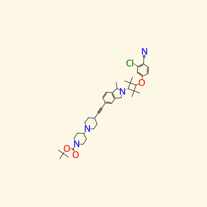 CC1c2ccc(C#CC3CCN(C4CCN(C(=O)OC(C)(C)C)CC4)CC3)cc2CN1[C@H]1C(C)(C)[C@H](Oc2ccc(C#N)c(Cl)c2)C1(C)C